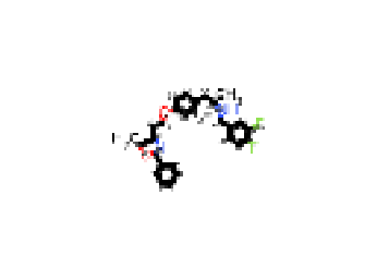 Cc1oc(-c2ccccc2)nc1CCOc1ccc(C[C@](C)(NCc2ccc(F)c(F)c2)C(=O)O)cc1